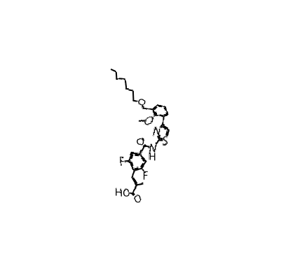 CCCCCCCOCc1cccc(-c2csc(NC(=O)c3cc(F)c(/C=C(\C)C(=O)O)c(F)c3)n2)c1OC